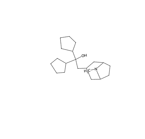 CN1C2CCC1CC(CC(O)(C1CCCC1)C1CCCC1)C2